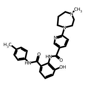 Cc1ccc(NC(=O)c2cccc(O)c2NC(=O)c2ccc(N3CCCN(C)CC3)nc2)cc1